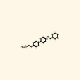 CCCCCCCCCCCCc1ccc(-c2ccc(OCC3CC[CH]CC3)cc2)cc1